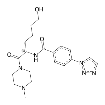 CN1CCN(C(=O)[C@H](CCCCO)NC(=O)c2ccc(-n3ccnn3)cc2)CC1